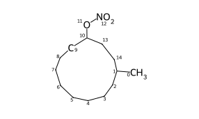 CC1CCCCCCCCC(O[N+](=O)[O-])CC1